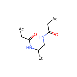 CCC(CNC(=O)CC(C)=O)NC(=O)CC(C)=O